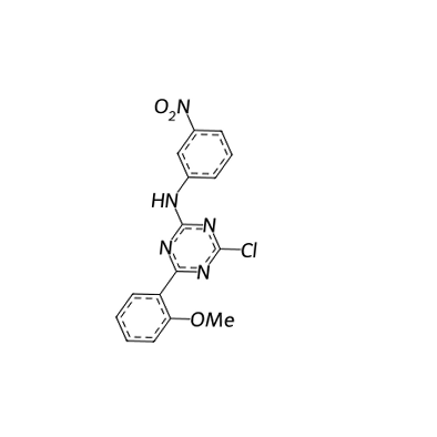 COc1ccccc1-c1nc(Cl)nc(Nc2cccc([N+](=O)[O-])c2)n1